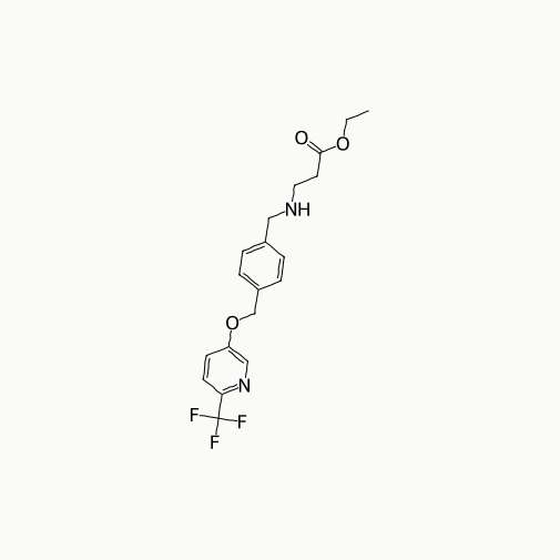 CCOC(=O)CCNCc1ccc(COc2ccc(C(F)(F)F)nc2)cc1